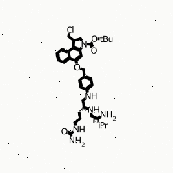 CC(C)[C@@H](N)CN[C@H](CCCNC(N)=O)CNc1ccc(COc2cc3c(c4ccccc24)C(CCl)CN3C(=O)OC(C)(C)C)cc1